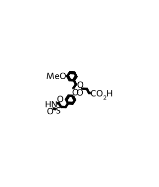 COc1cccc(C(COc2ccc(CC3SC(=O)NC3=O)cc2)OC(=O)CCC(=O)O)c1